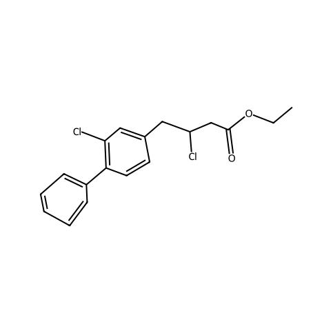 CCOC(=O)CC(Cl)Cc1ccc(-c2ccccc2)c(Cl)c1